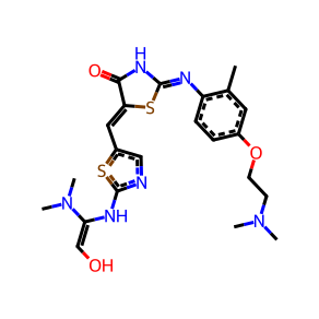 Cc1cc(OCCN(C)C)ccc1/N=C1/NC(=O)/C(=C/c2cnc(N/C(=C\O)N(C)C)s2)S1